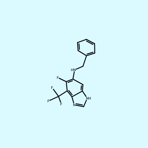 Fc1c(NCc2ccccc2)cc2[nH][c]nc2c1C(F)(F)F